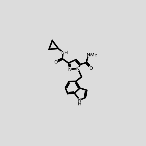 CNC(=O)c1cc(C(=O)NC2CC2)nn1Cc1cccc2[nH]ccc12